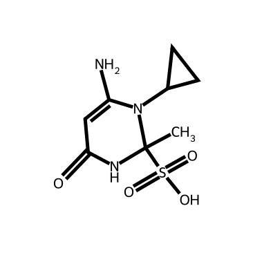 CC1(S(=O)(=O)O)NC(=O)C=C(N)N1C1CC1